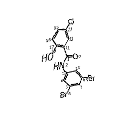 O=C(Nc1cc(Br)cc(Br)c1)c1cc(Cl)ccc1O